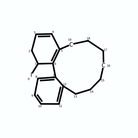 IC1CC=CC2=C1c1ccccc1CCCCCCC2